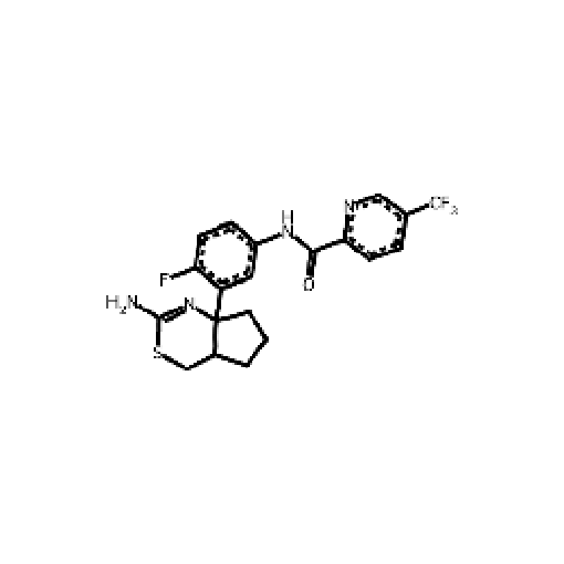 NC1=NC2(c3cc(NC(=O)c4ccc(C(F)(F)F)cn4)ccc3F)CCCC2CS1